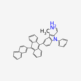 Cc1c(/C=C\N)n(-c2ccccc2)c2ccc(-c3c4ccccc4c(-c4ccc5ccccc5c4)c4ccccc34)cc12